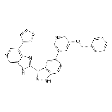 c1ccc(COc2cncc(-c3cc4c(-c5nc6c(-c7ccsc7)cncc6[nH]5)n[nH]c4cn3)c2)cc1